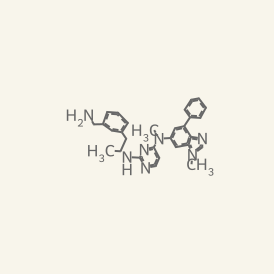 CC(Cc1cccc(CN)c1)Nc1nccc(N(C)c2cc(-c3ccccc3)c3ncn(C)c3c2)n1